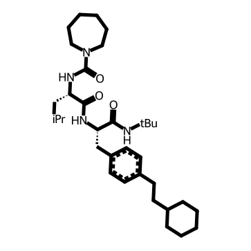 CC(C)C[C@H](NC(=O)N1CCCCCC1)C(=O)N[C@@H](Cc1ccc(CCC2CCCCC2)cc1)C(=O)NC(C)(C)C